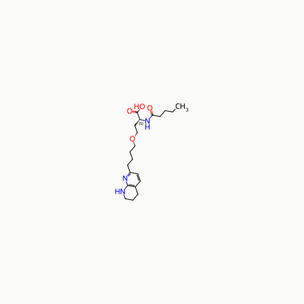 CCCCC(=O)N[C@@H](CCOCCCCc1ccc2c(n1)NCCC2)C(=O)O